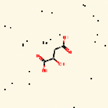 O=C(O)CC(O)C(=O)O.[Ca]